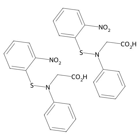 O=C(O)CN(Sc1ccccc1[N+](=O)[O-])c1ccccc1.O=C(O)CN(Sc1ccccc1[N+](=O)[O-])c1ccccc1